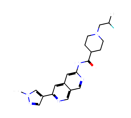 CC(F)CN1CCC(C(=O)Nc2cc3cc(-c4cnn(C)c4)ncc3cn2)CC1